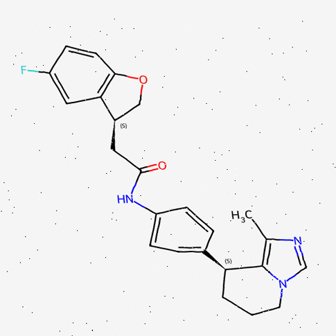 Cc1ncn2c1[C@H](c1ccc(NC(=O)C[C@@H]3COc4ccc(F)cc43)cc1)CCC2